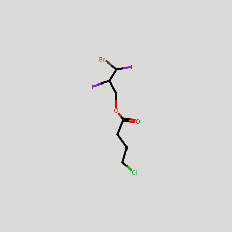 O=C(CCCCl)OCC(I)C(Br)I